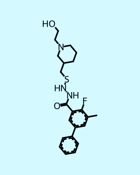 Cc1cc(-c2ccccc2)cc(C(=O)NNSCC2CCCN(CCO)C2)c1F